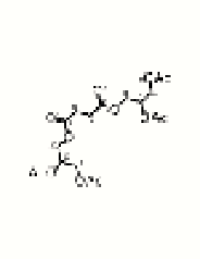 CC(=O)OCC(COC(=O)CCC(=O)OCC(COC(C)=O)OC(C)=O)OC(C)=O